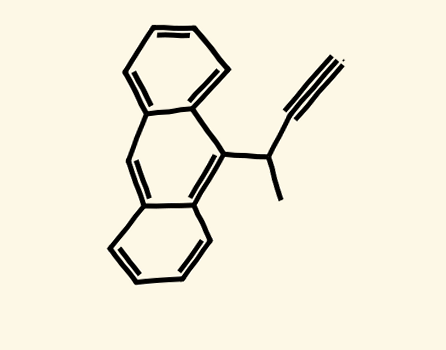 [C]#CC(C)c1c2ccccc2cc2ccccc12